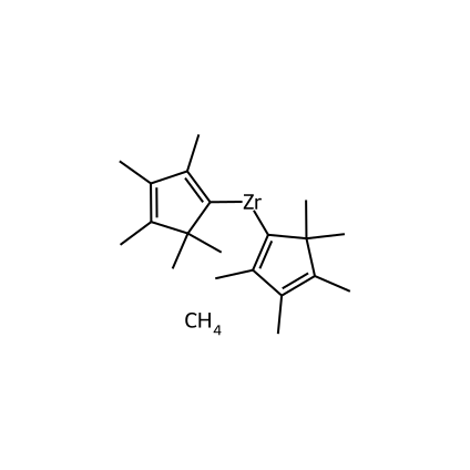 C.CC1=C(C)C(C)(C)[C]([Zr][C]2=C(C)C(C)=C(C)C2(C)C)=C1C